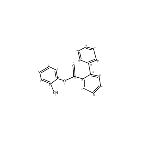 N#Cc1ccccc1OC(=O)c1ccccc1-c1ccccc1